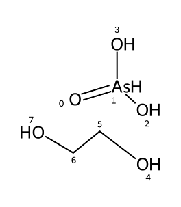 O=[AsH](O)O.OCCO